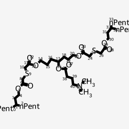 CCCCCC(CCCCC)CCOC(=O)CSCC(=O)OCCCC(CCCOC(=O)CSCC(=O)OCCC(CCCCC)CCCCC)OC(=O)CCCN(C)C